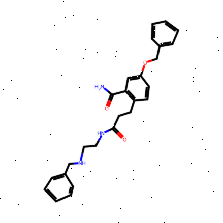 NC(=O)c1cc(OCc2ccccc2)ccc1C[CH]C(=O)NCCNCc1ccccc1